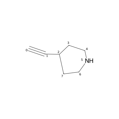 C#CC1CCNCC1